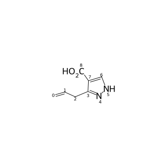 C=CCc1n[nH]cc1C(=O)O